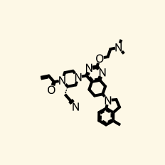 C=CC(=O)N1CCN(c2nc(OCCN(C)C)nc3c2CCC(N2CCc4c(C)cccc42)C3)C[C@@H]1CC#N